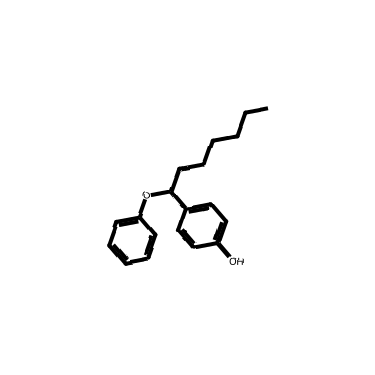 CCCCCCC(Oc1ccccc1)c1ccc(O)cc1